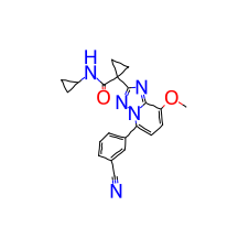 COc1ccc(-c2cccc(C#N)c2)n2nc(C3(C(=O)NC4CC4)CC3)nc12